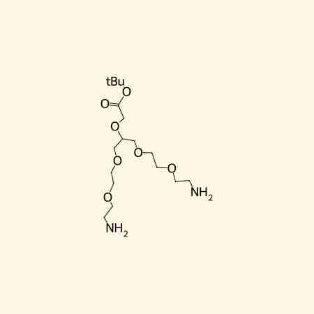 CC(C)(C)OC(=O)COC(COCCOCCN)COCCOCCN